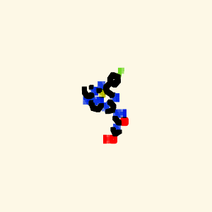 CCc1nc2ccc(N3CC[C@H](NCC(=O)N4CC(O)C4)C3)nn2c1N(C)c1nc(-c2ccc(F)cc2)c(C#N)s1